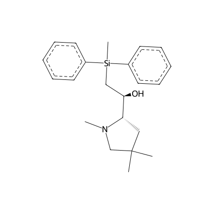 CN1CC(C)(C)C[C@H]1[C@H](O)C[Si](C)(c1ccccc1)c1ccccc1